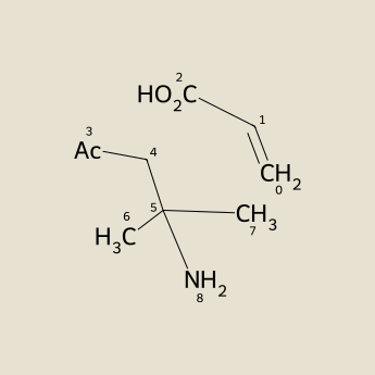 C=CC(=O)O.CC(=O)CC(C)(C)N